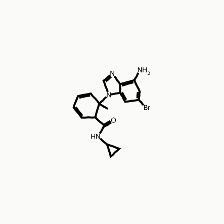 CC1(n2cnc3c(N)cc(Br)cc32)C=CC=CC1C(=O)NC1CC1